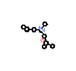 c1ccc(-c2nc(-c3ccc(-c4ccc5ccccc5c4)cc3)cc(-c3ccc4c(c3)oc3c5ccccc5c(-c5ccccc5)cc43)n2)cc1